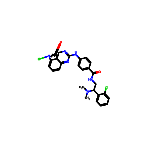 CN(C)C(CNC(=O)c1ccc(NC2=NCC34CC(=O)CCN(Cl)C3=CC=CC4=N2)cc1)c1ccccc1Cl